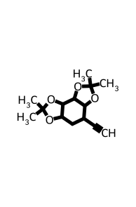 C#CC1CC2OC(C)(C)OC2C2OC(C)(C)OC12